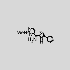 CNc1nccc(/C(N)=C2/NC(c3ccccc3)=CS2)n1